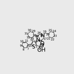 O=C(O)c1sc(-c2ccccc2)cc1N1C(=O)CN(CC2CCCCC2)C[C@H]1C1CCCCC1